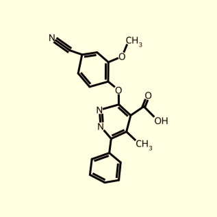 COc1cc(C#N)ccc1Oc1nnc(-c2ccccc2)c(C)c1C(=O)O